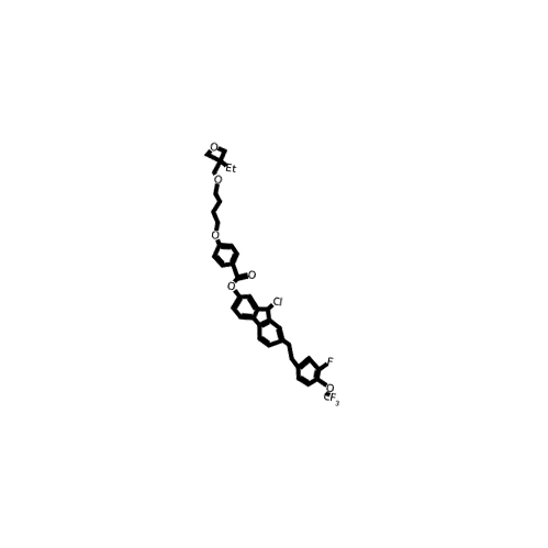 CCC1(COCCCCOc2ccc(C(=O)Oc3ccc4c(c3)C(Cl)c3cc(CCc5ccc(OC(F)(F)F)c(F)c5)ccc3-4)cc2)COC1